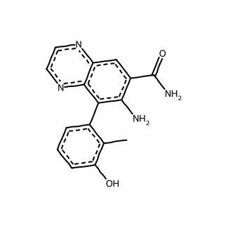 Cc1c(O)cccc1-c1c(N)c(C(N)=O)cc2nccnc12